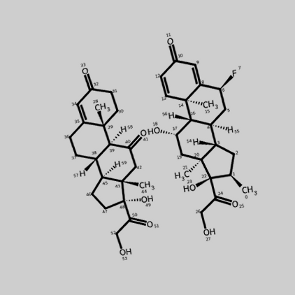 C[C@@H]1C[C@H]2[C@@H]3C[C@H](F)C4=CC(=O)C=C[C@]4(C)[C@H]3[C@@H](O)C[C@]2(C)[C@@]1(O)C(=O)CO.C[C@]12CCC(=O)C=C1CC[C@@H]1[C@@H]2C(=O)C[C@@]2(C)[C@H]1CC[C@]2(O)C(=O)CO